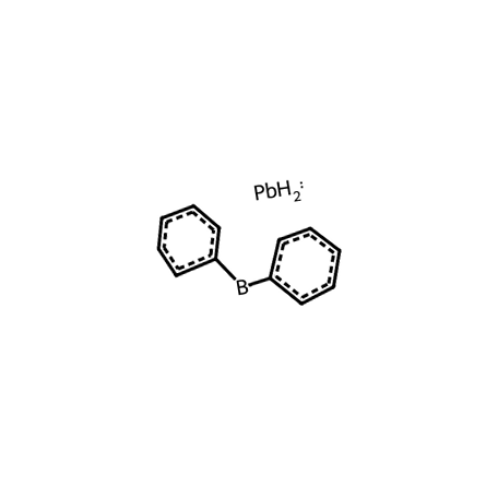 [B](c1ccccc1)c1ccccc1.[PbH2]